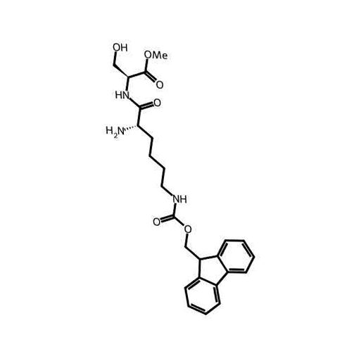 COC(=O)[C@H](CO)NC(=O)[C@@H](N)CCCCNC(=O)OCC1c2ccccc2-c2ccccc21